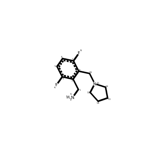 NCc1c(F)ccc(F)c1CN1CCCC1